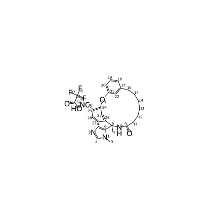 Cn1cncc1C1(C)NC(=O)CCCCCCc2cccc(c2)Oc2cc1ccc2C#N.O=C(O)C(F)(F)F